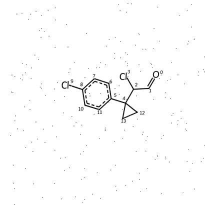 O=CC(Cl)C1(c2ccc(Cl)cc2)CC1